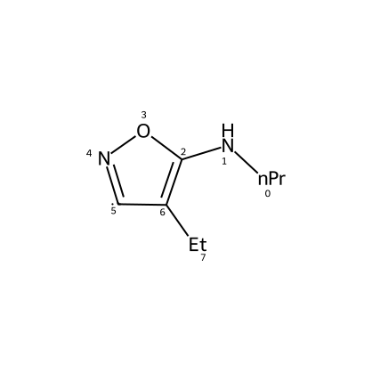 CCCNc1on[c]c1CC